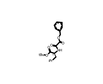 CC(C)C[C@H](NC(=O)C(=O)OCc1ccccc1)C(=O)OC(C)(C)C